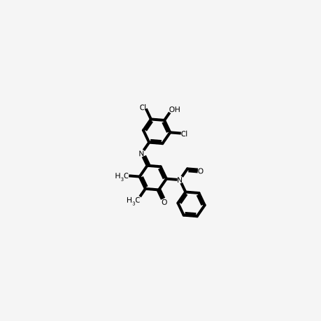 CC1=C(C)/C(=N/c2cc(Cl)c(O)c(Cl)c2)C=C(N(C=O)c2ccccc2)C1=O